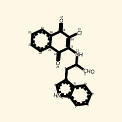 O=CC(Cc1c[nH]c2ccccc12)NC1=C(Cl)C(=O)c2ccccc2C1=O